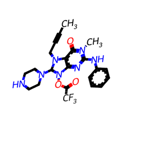 CC#CCN1c2c(nc(Nc3ccccc3)n(C)c2=O)N(OC(=O)C(F)(F)F)C1N1CCNCC1